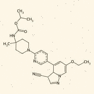 CCOC1=CN2N=CC(C#N)C2C(c2ccc(N3CCC(C)(NC(=O)OC(C)C)CC3)nc2)=C1